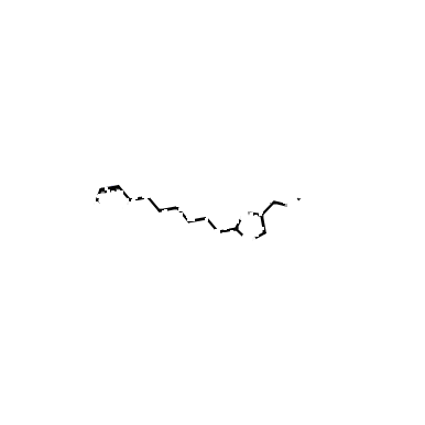 CCCCCCC/C=C\CCCCCCCC1OCC(COS(=O)(=O)O)O1